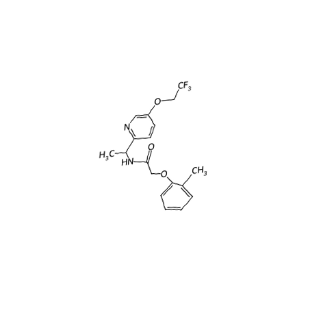 Cc1ccccc1OCC(=O)NC(C)c1ccc(OCC(F)(F)F)cn1